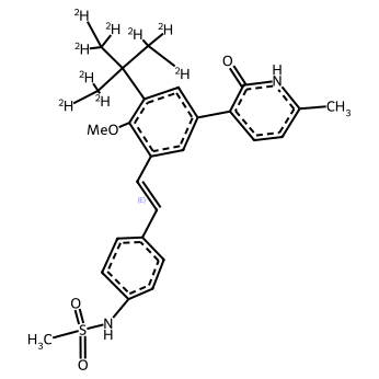 [2H]C([2H])([2H])C(c1cc(-c2ccc(C)[nH]c2=O)cc(/C=C/c2ccc(NS(C)(=O)=O)cc2)c1OC)(C([2H])([2H])[2H])C([2H])([2H])[2H]